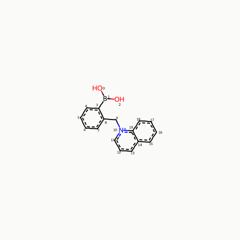 OB(O)c1ccccc1C[n+]1cccc2ccccc21